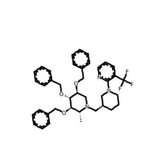 C[C@@H]1[C@@H](OCc2ccccc2)[C@H](OCc2ccccc2)[C@@H](OCc2ccccc2)CN1C[C@@H]1CCCN(c2ncccc2C(F)(F)F)C1